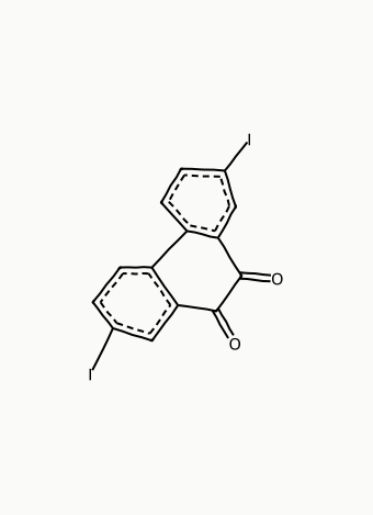 O=C1C(=O)c2cc(I)ccc2-c2ccc(I)cc21